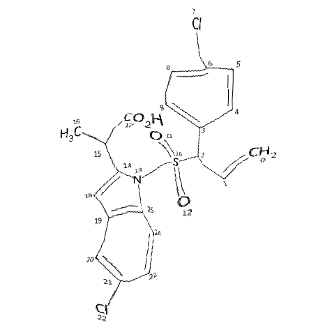 C=CC(c1ccc(Cl)cc1)S(=O)(=O)n1c(C(C)C(=O)O)cc2cc(Cl)ccc21